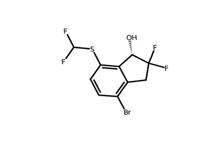 O[C@H]1c2c(SC(F)F)ccc(Br)c2CC1(F)F